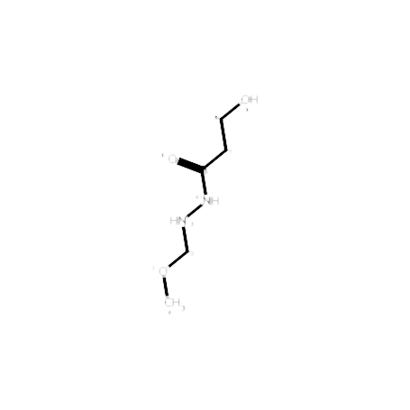 COCNNC(=O)CCO